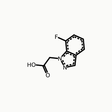 O=C(O)Cn1ncc2cccc(F)c21